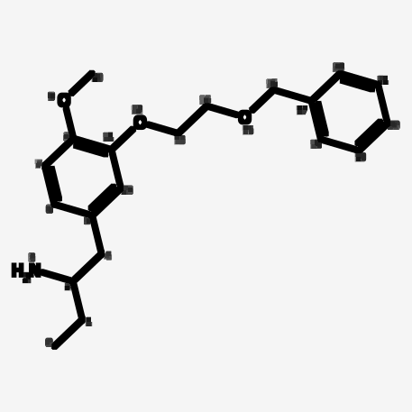 CCC(N)Cc1ccc(OC)c(OCCOCc2ccccc2)c1